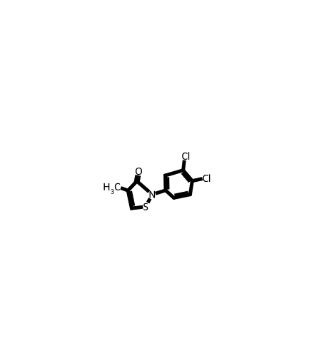 Cc1csn(-c2ccc(Cl)c(Cl)c2)c1=O